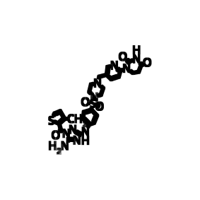 Cc1ccsc1C(=O)n1nc(Nc2ccc(S(=O)(=O)N3CCN(Cc4ccc(N5CCC(=O)NC5=O)nc4)CC3)cc2)nc1N